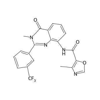 Cc1ncoc1C(=O)Nc1cccc2c(=O)n(C)c(-c3cccc(C(F)(F)F)c3)nc12